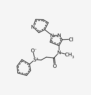 CN(C(=O)CC[S+]([O-])c1ccccc1)c1cn(-c2cccnc2)nc1Cl